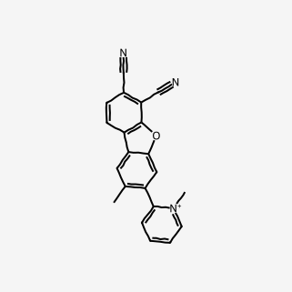 Cc1cc2c(cc1-c1cccc[n+]1C)oc1c(C#N)c(C#N)ccc12